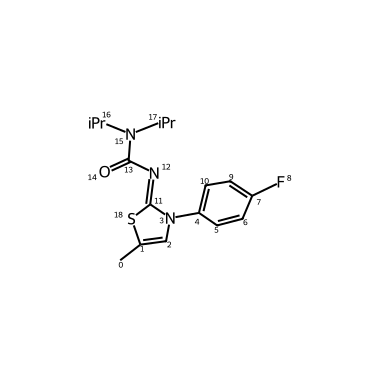 Cc1cn(-c2ccc(F)cc2)c(=NC(=O)N(C(C)C)C(C)C)s1